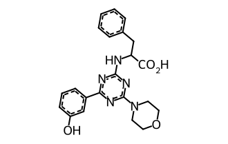 O=C(O)C(Cc1ccccc1)Nc1nc(-c2cccc(O)c2)nc(N2CCOCC2)n1